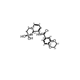 O=C(NC1=CC=CN2CCS(O)(O)N=C12)c1ccc2c(c1)OCCO2